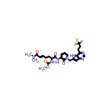 COC(=O)NC(CCC=CC(=O)N(C)C)C(=O)Nc1cccn(Cc2cc3ncnc(CCC(F)(F)F)c3[nH]2)c1=O